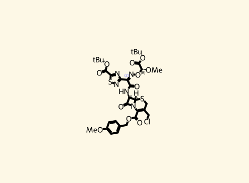 COc1ccc(COC(=O)C2=C(CCl)CS[C@H]3[C@H](NC(=O)/C(=N\O[C@@H](OC)C(=O)OC(C)(C)C)c4nsc(C(=O)OC(C)(C)C)n4)C(=O)N23)cc1